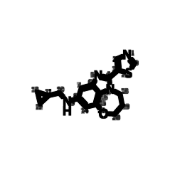 c1ncc(-c2nc3cc(NCC4CC4)cc4c3n2CCCO4)s1